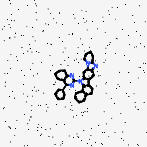 c1ccc(-c2nc(-n3c4cc5c(cc4c4ccc6ccccc6c43)nc3ccccn35)nc3ccccc23)cc1